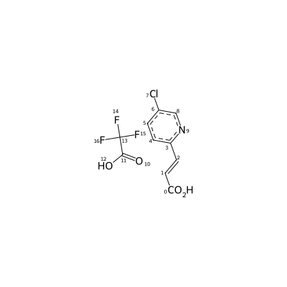 O=C(O)/C=C/c1ccc(Cl)cn1.O=C(O)C(F)(F)F